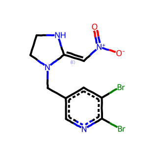 O=[N+]([O-])/C=C1\NCCN1Cc1cnc(Br)c(Br)c1